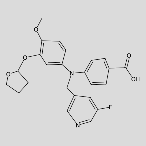 COc1ccc(N(Cc2cncc(F)c2)c2ccc(C(=O)O)cc2)cc1OC1CCCO1